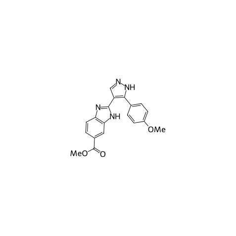 COC(=O)c1ccc2nc(-c3cn[nH]c3-c3ccc(OC)cc3)[nH]c2c1